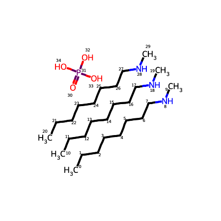 CCCCCCCCNC.CCCCCCCCNC.CCCCCCCCNC.O=P(O)(O)O